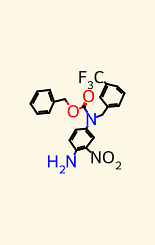 Nc1ccc(N(Cc2cccc(C(F)(F)F)c2)C(=O)OCc2ccccc2)cc1[N+](=O)[O-]